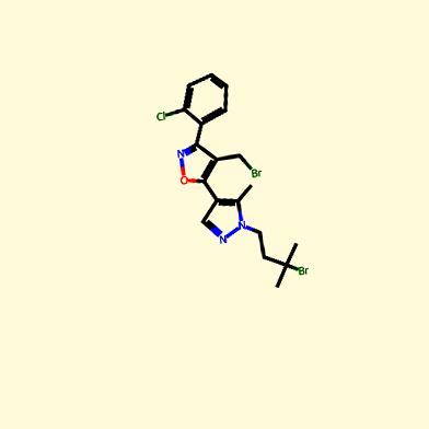 Cc1c(-c2onc(-c3ccccc3Cl)c2CBr)cnn1CCC(C)(C)Br